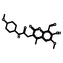 COc1cc2c(C)c(CC(=O)NC3CCC(OC)CC3)c(=O)oc2c(C=O)c1O